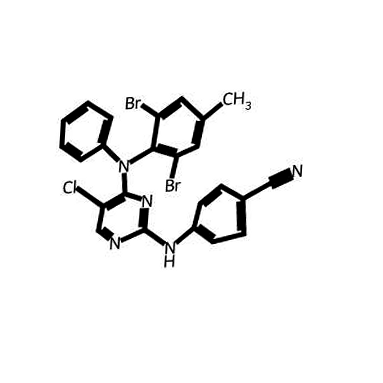 Cc1cc(Br)c(N(c2ccccc2)c2nc(Nc3ccc(C#N)cc3)ncc2Cl)c(Br)c1